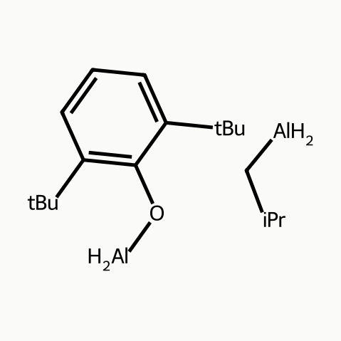 CC(C)(C)c1cccc(C(C)(C)C)c1[O][AlH2].CC(C)[CH2][AlH2]